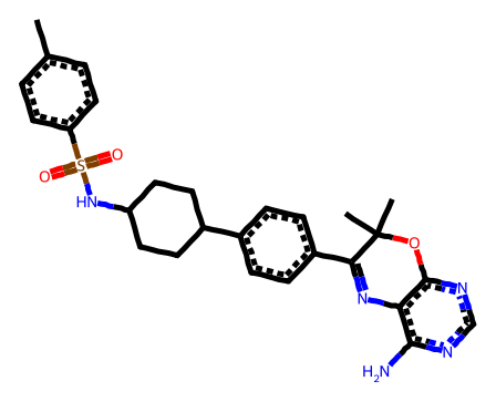 Cc1ccc(S(=O)(=O)NC2CCC(c3ccc(C4=Nc5c(N)ncnc5OC4(C)C)cc3)CC2)cc1